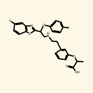 CC(Oc1cccc(CCNCC(Oc2ccc(F)cc2)c2nc3cc(F)ccc3o2)c1)C(=O)O